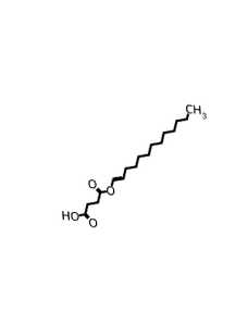 CCCCCCCCCCCC=COC(=O)CCC(=O)O